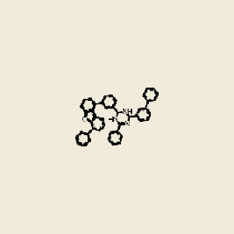 c1ccc(C2=NC(c3cccc(-c4ccccc4)c3)NC(c3cccc(-c4cccc5oc6c(-c7ccccc7)cccc6c45)c3)N2)cc1